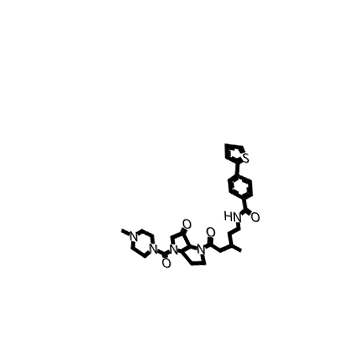 CC(CCNC(=O)c1ccc(-c2cccs2)cc1)CC(=O)N1CCC2C1C(=O)CN2C(=O)N1CCN(C)CC1